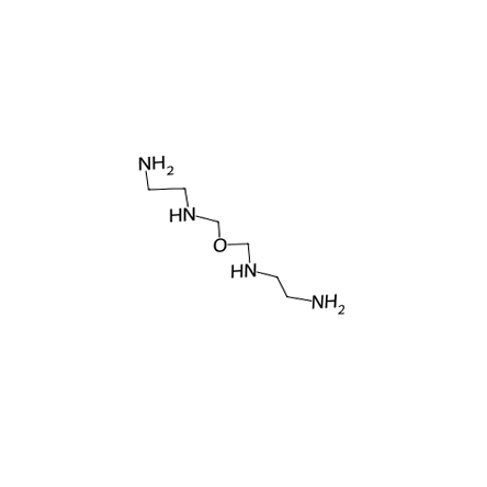 NCCNCOCNCCN